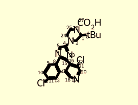 CC(C)(C)C1CN(c2cnc(-c3ccc(Cl)cc3)c(-c3ccncc3Cl)n2)CCN1C(=O)O